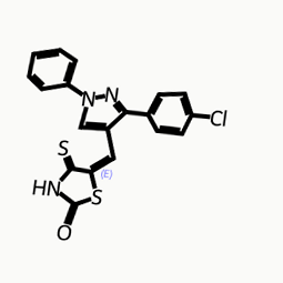 O=C1NC(=S)/C(=C\c2cn(-c3ccccc3)nc2-c2ccc(Cl)cc2)S1